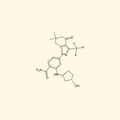 CC1(C)CC(=O)c2c(C(F)(F)F)nn(-c3ccc(C(N)=O)c(NC4CCC(O)C4)c3)c2C1